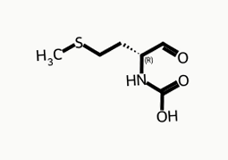 CSCC[C@H](C=O)NC(=O)O